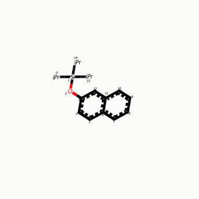 CC(C)[Si](Oc1ccc2ccc[c]c2c1)(C(C)C)C(C)C